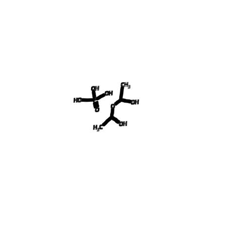 CC(O)OC(C)O.O=P(O)(O)O